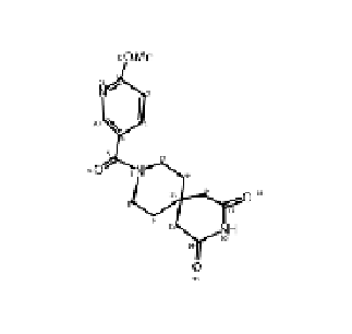 COc1ccc(C(=O)N2CCC3(CC2)CC(=O)NC(=O)C3)cn1